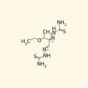 CCOC(C)C(/C=N/NC(N)=S)=N\NC(N)=S